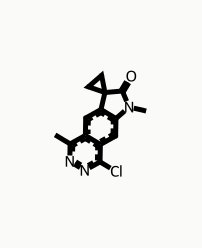 Cc1nnc(Cl)c2cc3c(cc12)C1(CC1)C(=O)N3C